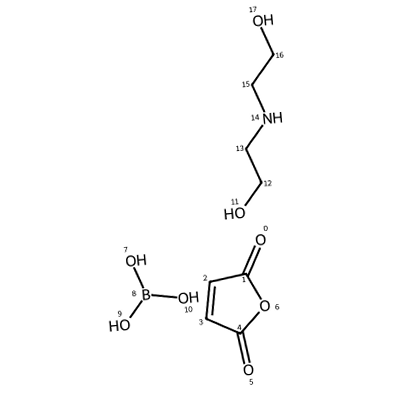 O=C1C=CC(=O)O1.OB(O)O.OCCNCCO